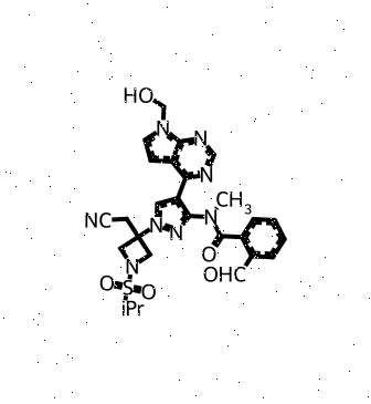 CC(C)S(=O)(=O)N1CC(CC#N)(n2cc(-c3ncnc4c3ccn4CO)c(N(C)C(=O)c3ccccc3C=O)n2)C1